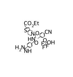 CCOC(=O)Cc1cc2c(s1)CCN(C(=O)[C@H](Cc1ccc(C#N)cc1)NC(=O)c1ccc(C(=N)N)cc1)C2.O=C(O)C(F)(F)F